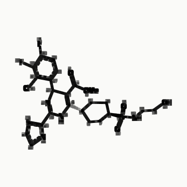 COC(=O)C1=C([C@H]2CC[C@H](S(=O)(=O)NCCO)CC2)NC(c2nccs2)=NC1c1ccc(F)c(F)c1Cl